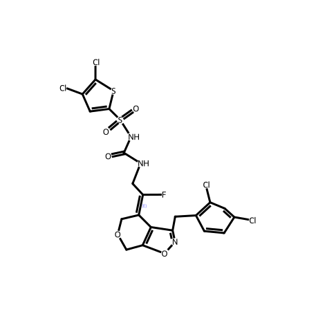 O=C(NC/C(F)=C1\COCc2onc(Cc3ccc(Cl)cc3Cl)c21)NS(=O)(=O)c1cc(Cl)c(Cl)s1